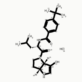 CC(C)C[C@H](NC(=O)c1ccc(C(C)(C)C)cc1)C(=O)N1CC[C@H]2NC=C(O)[C@H]21.Cl